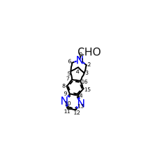 O=CN1CC2CC(C1)c1cc3nccnc3cc12